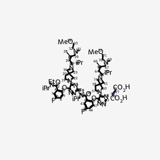 CCN(C(=O)c1cc(F)ccc1Oc1nncnc1N1CCC2(C1)CN([C@H](C[C@@H](C)CN(C)CCOC)C(C)C)C2)C(C)C.CCN(C(=O)c1cc(F)ccc1Oc1nncnc1N1CCC2(C1)CN([C@H](C[C@@H](C)CN(C)CCOC)C(C)C)C2)C(C)C.O=C(O)/C=C/C(=O)O